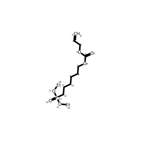 C=CCOC(=O)OCCCCCCP(=O)(OCC)OCC